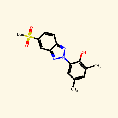 CCS(=O)(=O)c1ccc2nn(-c3cc(C)cc(C)c3O)nc2c1